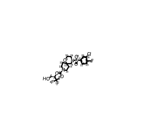 O=C(O[C@H](CO)C(F)(F)F)N1CCC2(CC1)CN(S(=O)(=O)c1ccc(F)c(Cl)c1)CCO2